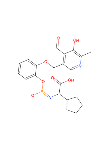 Cc1ncc(COc2ccccc2O/[P+]([O-])=N\C(C(=O)O)C2CCCC2)c(C=O)c1O